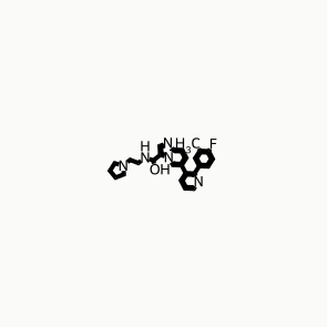 Cc1cc(-c2ncccc2-c2ccc3ncc(C(O)NCCN4CCCC4)n3c2)ccc1F